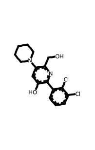 OCc1nc(-c2cccc(Cl)c2Cl)c(O)cc1N1CCCCC1